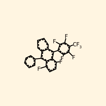 Fc1c(F)c(C(F)(F)F)c(F)c(F)c1-c1c2ccccc2c(-c2ccccc2)c2c(F)ccc(F)c12